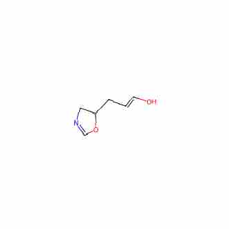 OC=CCC1CN=CO1